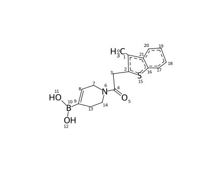 Cc1c(CC(=O)N2CC=C(B(O)O)CC2)sc2ccccc12